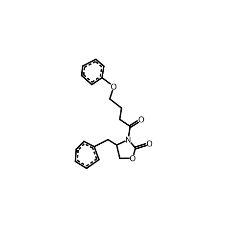 O=C(CCCOc1ccccc1)N1C(=O)OCC1Cc1ccccc1